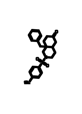 CC(C)(C)c1ccc(S(=O)(=O)N2CCC3CC(=O)CCC3(Cc3ccccc3)C2)cc1